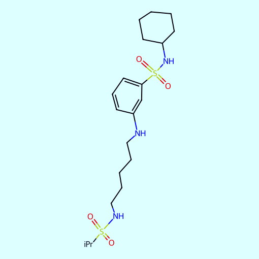 CC(C)S(=O)(=O)NCCCCCNc1cccc(S(=O)(=O)NC2CCCCC2)c1